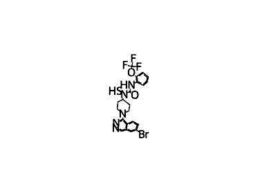 O=C(Nc1ccccc1OC(F)(F)F)N(S)C1CCN(c2nncc3cc(Br)ccc23)CC1